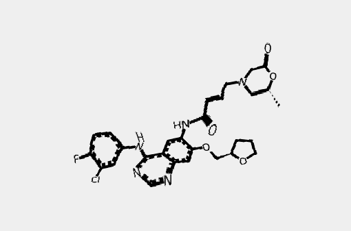 C[C@@H]1CN(C/C=C/C(=O)Nc2cc3c(Nc4ccc(F)c(Cl)c4)ncnc3cc2OC[C@H]2CCCO2)CC(=O)O1